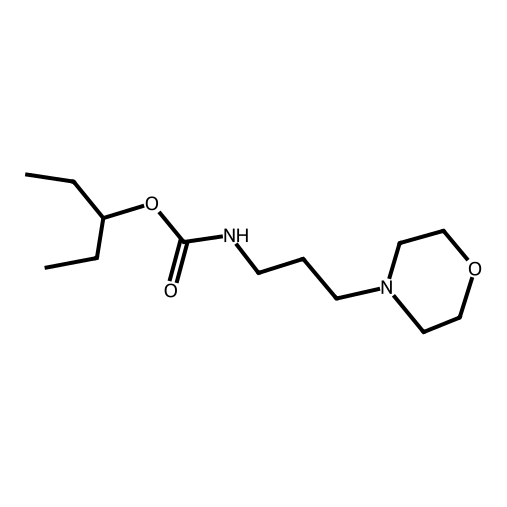 CCC(CC)OC(=O)NCCCN1CCOCC1